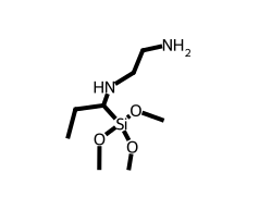 CCC(NCCN)[Si](OC)(OC)OC